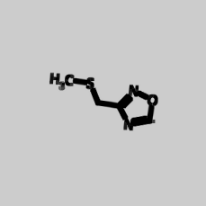 CSCc1n[c]on1